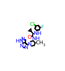 C[C@H]1CCN(c2ncnc3[nH]ncc23)C[C@@H]1NC(=O)[C@H](Nc1cc(F)cc(Cl)c1)C1CC1